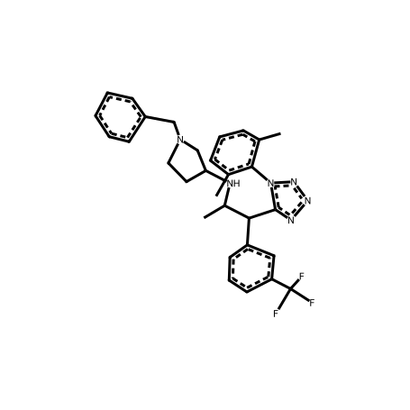 Cc1cccc(C)c1-n1nnnc1C(c1cccc(C(F)(F)F)c1)C(C)NC1CCN(Cc2ccccc2)C1